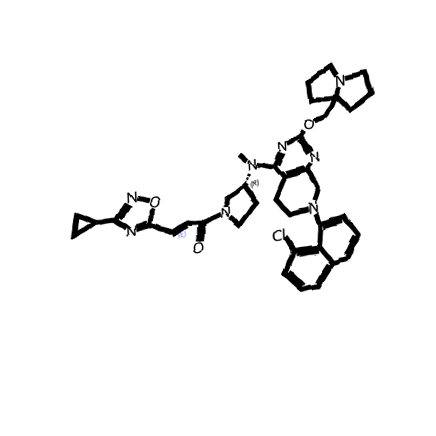 CN(c1nc(OCC23CCCN2CCC3)nc2c1CCN(c1cccc3cccc(Cl)c13)C2)[C@@H]1CCN(C(=O)/C=C/c2nc(C3CC3)no2)C1